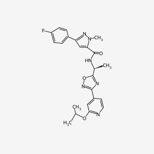 CC(C)Oc1cc(-c2noc([C@H](C)NC(=O)c3cc(-c4ccc(F)cc4)nn3C)n2)ccn1